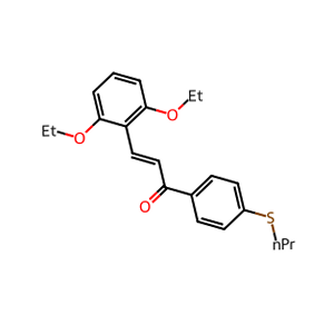 CCCSc1ccc(C(=O)C=Cc2c(OCC)cccc2OCC)cc1